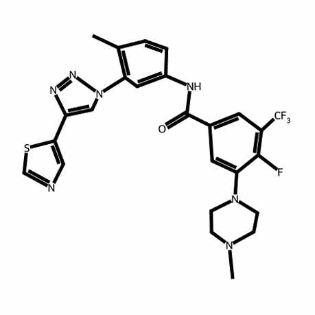 Cc1ccc(NC(=O)c2cc(N3CCN(C)CC3)c(F)c(C(F)(F)F)c2)cc1-n1cc(-c2cncs2)nn1